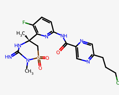 CN1C(=N)N[C@](C)(c2nc(NC(=O)c3cnc(CCCCl)cn3)ccc2F)CS1(=O)=O